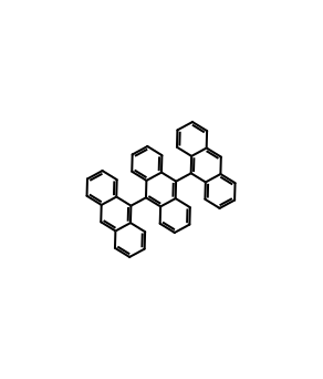 c1ccc2c(-c3c4ccccc4c(-c4c5ccccc5cc5ccccc45)c4ccccc34)c3ccccc3cc2c1